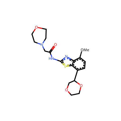 COc1ccc(C2COCCO2)c2sc(NC(=O)CN3CCOCC3)nc12